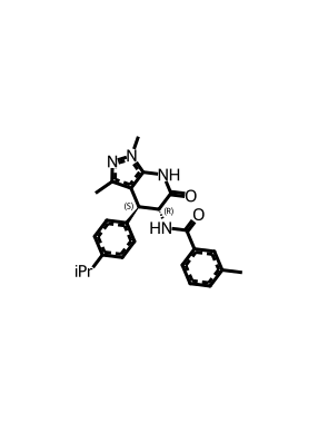 Cc1cccc(C(=O)N[C@H]2C(=O)Nc3c(c(C)nn3C)[C@@H]2c2ccc(C(C)C)cc2)c1